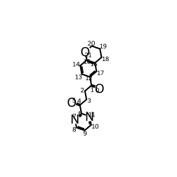 O=C(CCC(=O)c1ncccn1)c1ccc2c(c1)CCCO2